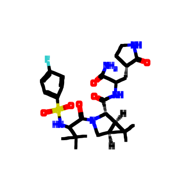 CC(C)(C)C(NS(=O)(=O)c1ccc(F)cc1)C(=O)N1C[C@H]2[C@@H]([C@H]1C(=O)NC(C[C@@H]1CCNC1=O)C(N)=O)C2(C)C